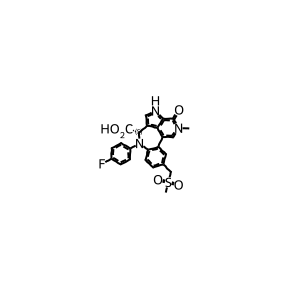 Cn1cc2c3c(c[nH]c3c1=O)[C@@H](C(=O)O)N(c1ccc(F)cc1)c1ccc(CS(C)(=O)=O)cc1-2